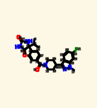 CC(C)C1(c2ccc(C(=O)N3CCC(c4nn(C)c5cc(F)ccc45)CC3)cc2)NC(=O)NC1=O